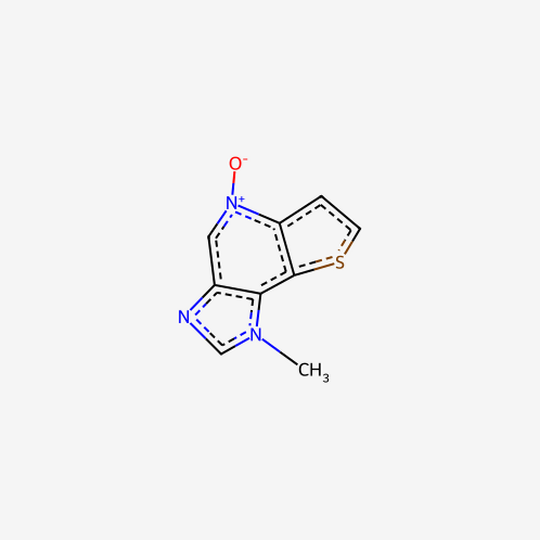 Cn1cnc2c[n+]([O-])c3ccsc3c21